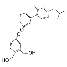 Cc1cc(CC(C)C)ccc1-c1cccc(OCc2ccc(CO)c(CO)c2)c1